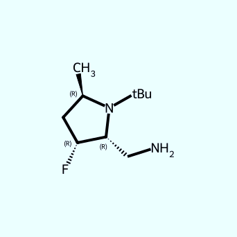 C[C@@H]1C[C@@H](F)[C@@H](CN)N1C(C)(C)C